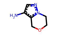 Nc1cnn2c1COCC2